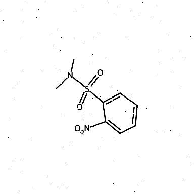 CN(C)S(=O)(=O)c1ccccc1[N+](=O)[O-]